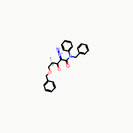 C[C@@H](COCc1ccccc1)C(=O)C(=[N+]=[N-])C(=O)N(Cc1ccccc1)c1ccccc1